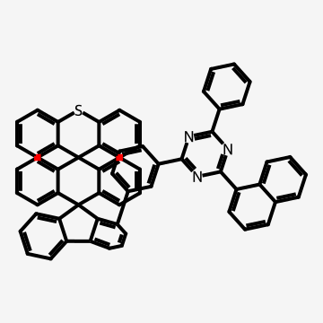 c1ccc(-c2nc(-c3cccc(-c4cccc5c4C4(c6ccccc6-5)c5ccccc5C5(c6ccccc6Sc6ccccc65)c5ccccc54)c3)nc(-c3cccc4ccccc34)n2)cc1